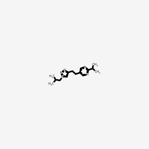 CC(C)Cn1cc(CCc2cnc(C(C)C)nc2)nn1